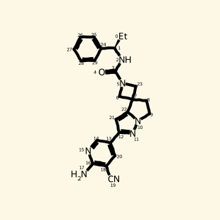 CC[C@@H](NC(=O)N1CC2(CCn3nc(-c4cnc(N)c(C#N)c4)cc32)C1)c1ccccc1